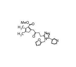 COC(=O)C1=C(CC(=O)CCc2nnc(-c3cccnc3)n2Cc2ccco2)CC(C)=C1C